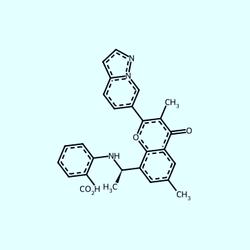 Cc1cc([C@@H](C)Nc2ccccc2C(=O)O)c2oc(-c3ccc4ccnn4c3)c(C)c(=O)c2c1